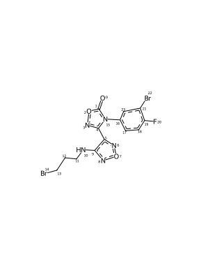 O=c1onc(-c2nonc2NCCCBr)n1-c1ccc(F)c(Br)c1